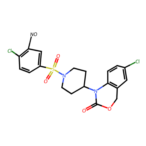 O=Nc1cc(S(=O)(=O)N2CCC(N3C(=O)OCc4cc(Cl)ccc43)CC2)ccc1Cl